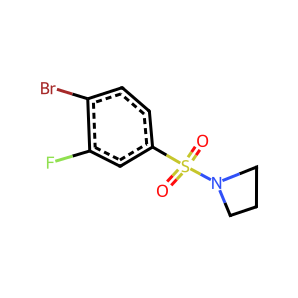 O=S(=O)(c1ccc(Br)c(F)c1)N1CCC1